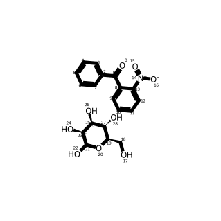 O=C(c1ccccc1)c1ccccc1[N+](=O)[O-].OC[C@H]1OC(O)[C@@H](O)[C@@H](O)[C@@H]1O